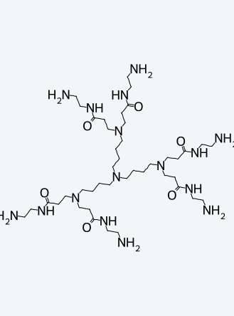 NCCNC(=O)CCN(CCCCN(CCCCN(CCC(=O)NCCN)CCC(=O)NCCN)CCCCN(CCC(=O)NCCN)CCC(=O)NCCN)CCC(=O)NCCN